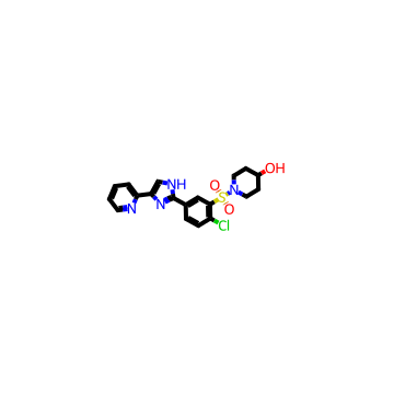 O=S(=O)(c1cc(-c2nc(-c3ccccn3)c[nH]2)ccc1Cl)N1CCC(O)CC1